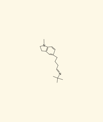 CN1CCc2cc(CCCC=NC(C)(C)C)ccc21